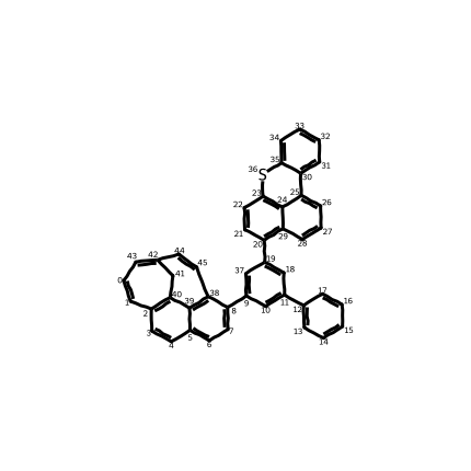 C1=Cc2ccc3ccc(-c4cc(-c5ccccc5)cc(-c5ccc6c7c(cccc57)-c5ccccc5S6)c4)c4c3c2CC(=C1)C=C4